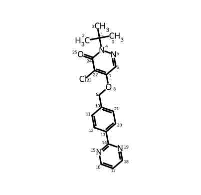 CC(C)(C)n1ncc(OCc2ccc(-c3ncccn3)cc2)c(Cl)c1=O